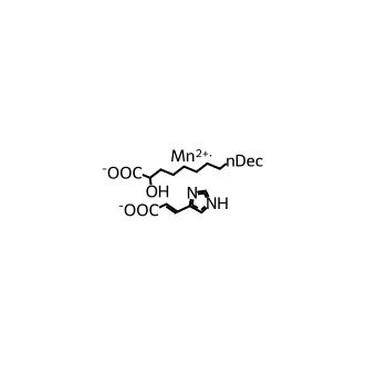 CCCCCCCCCCCCCCCCC(O)C(=O)[O-].O=C([O-])C=Cc1c[nH]cn1.[Mn+2]